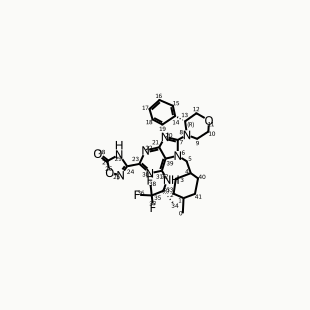 CC1CCC(Cn2c(N3CCOC[C@H]3c3ccccc3)nc3nc(-c4noc(=O)[nH]4)nc(N[C@H](C)C(F)(F)F)c32)CC1